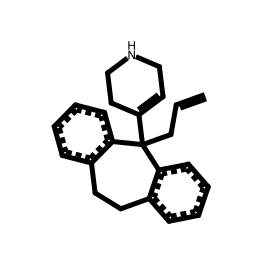 C=CCC1(C2=CCNCC2)c2ccccc2CCc2ccccc21